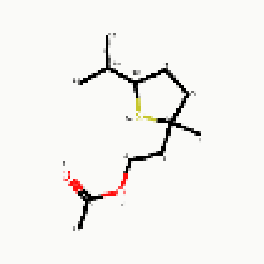 CC(=O)OCCC1(C)CCC(C(C)C)S1